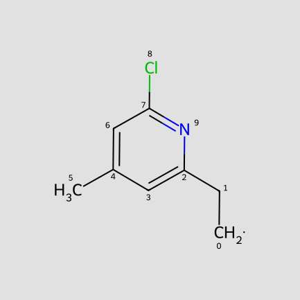 [CH2]Cc1cc(C)cc(Cl)n1